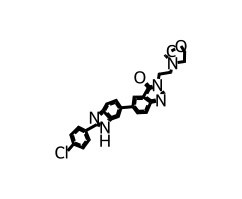 O=c1c2cc(-c3ccc4nc(-c5ccc(Cl)cc5)[nH]c4c3)ccc2ncn1CCN1CCOCC1